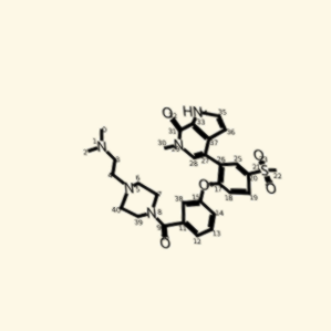 CN(C)CCN1CCN(C(=O)c2cccc(Oc3ccc(S(C)(=O)=O)cc3-c3cn(C)c(=O)c4[nH]ccc34)c2)CC1